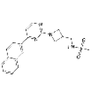 CS(=O)(=O)NCC1CN(c2nccc(-c3ccc4ccccc4c3)n2)C1